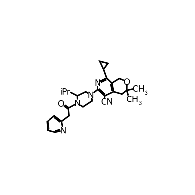 CC(C)C1CN(c2nc(C3CC3)c3c(c2C#N)CC(C)(C)OC3)CCN1C(=O)Cc1ccccn1